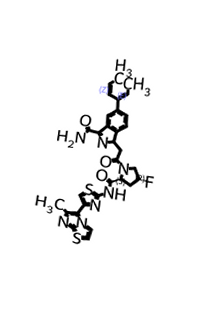 C/C=C\C(=C/C)c1ccc2c(c1)C(C(N)=O)=NC2CC(=O)N1C[C@H](F)C[C@H]1C(=O)Nc1nc(-c2c(C)nc3sccn23)cs1